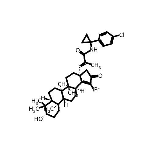 C/C(=C\[C@@]12CC[C@]3(C)[C@H](CC[C@@H]4[C@@]5(C)CC[C@H](O)C(C)(C)[C@@H]5CC[C@]43C)C1=C(C(C)C)C(=O)C2)C(=O)NC1(c2ccc(Cl)cc2)CC1